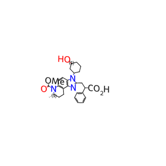 COC(=O)N1c2ccc3c(nc(CC(C(=O)O)c4ccccc4)n3C3CCC[C@H](O)C3)c2CC[C@@H]1C